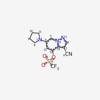 N#Cc1cnn2cc(N3CCCC3)cc(OS(=O)(=O)C(F)(F)F)c12